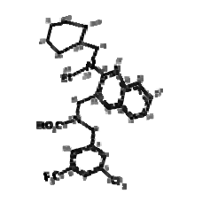 CCOC(=O)N(Cc1cc(C(F)(F)F)cc(C(F)(F)F)c1)Cc1cc2ccccc2nc1N(CC)CC1CCCCC1